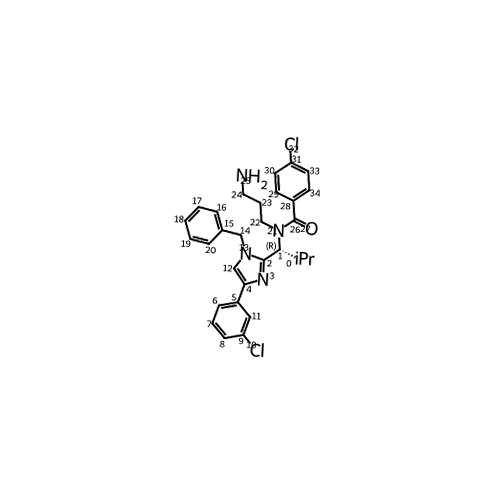 CC(C)[C@H](c1nc(-c2cccc(Cl)c2)cn1Cc1ccccc1)N(CCCN)C(=O)c1ccc(Cl)cc1